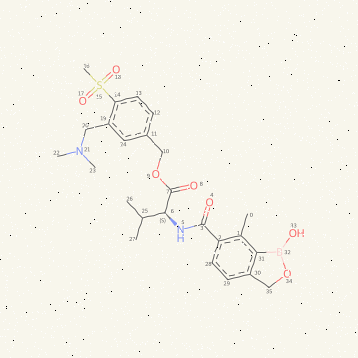 Cc1c(C(=O)N[C@H](C(=O)OCc2ccc(S(C)(=O)=O)c(CN(C)C)c2)C(C)C)ccc2c1B(O)OC2